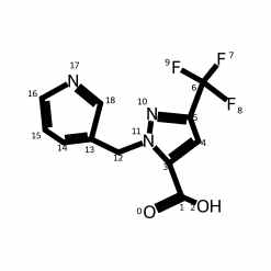 O=C(O)c1cc(C(F)(F)F)nn1Cc1cccnc1